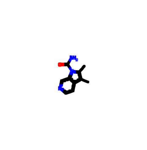 Cc1c(C)n(C(N)=O)c2cnccc12